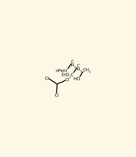 CCCCCC.CCOC(C)=O.CO.ClC(Cl)Cl